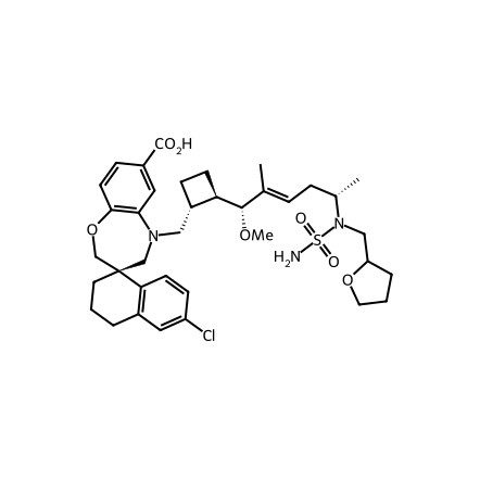 CO[C@@H](/C(C)=C/C[C@H](C)N(CC1CCCO1)S(N)(=O)=O)[C@@H]1CC[C@H]1CN1C[C@@]2(CCCc3cc(Cl)ccc32)COc2ccc(C(=O)O)cc21